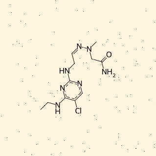 CCNc1nc(NC/C=N\N(C)CC(N)=O)ncc1Cl